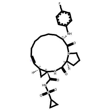 O=C1N[C@]2(C(=O)NS(=O)(=O)C3CC3)C[C@H]2/C=C\CCCCC[C@H](Nc2ccc(F)cc2)C(=O)N2CCC[C@@H]12